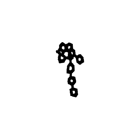 c1ccc(-c2ccc(-c3ccc(C4=NC(c5ccccc5)N4c4cccc5oc6cccc(-c7ccc(-c8ccccc8)cc7)c6c45)cc3)cc2)cc1